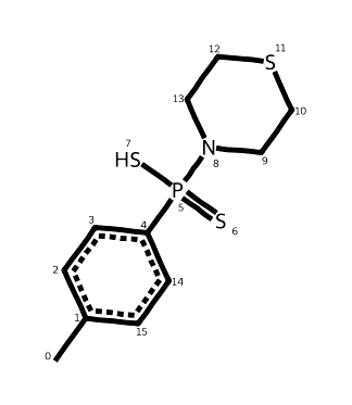 Cc1ccc(P(=S)(S)N2CCSCC2)cc1